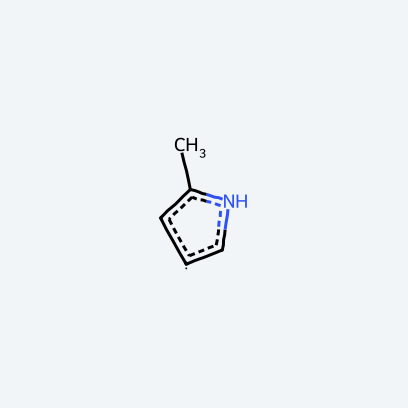 Cc1c[c]c[nH]1